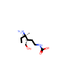 CC[C@@](C)(N)[C@@H](CO)CCNC(=O)O